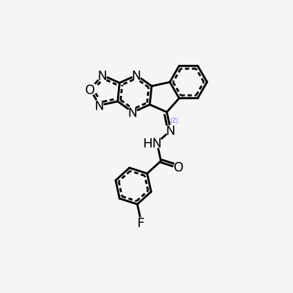 O=C(N/N=C1/c2ccccc2-c2nc3nonc3nc21)c1cccc(F)c1